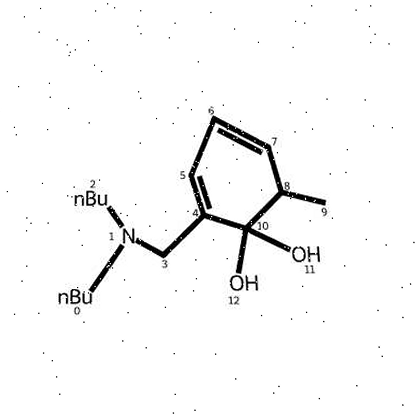 CCCCN(CCCC)CC1=CC=CC(C)C1(O)O